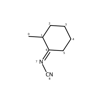 CC1CCCC/C1=N\C#N